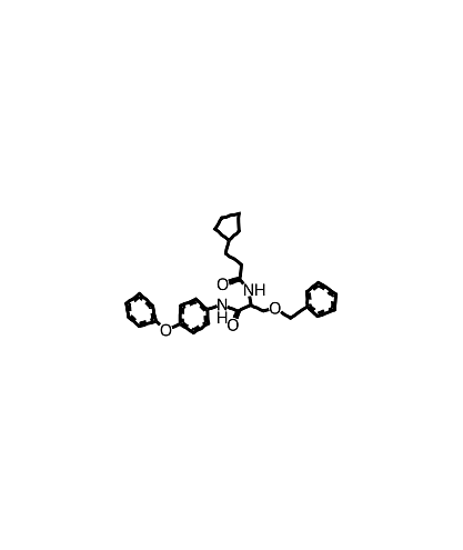 O=C(CCC1CCCC1)NC(COCc1ccccc1)C(=O)Nc1ccc(Oc2ccccc2)cc1